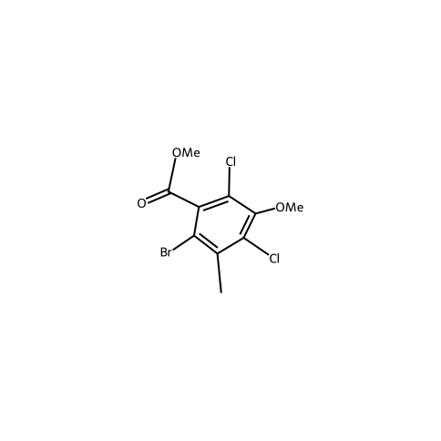 COC(=O)c1c(Cl)c(OC)c(Cl)c(C)c1Br